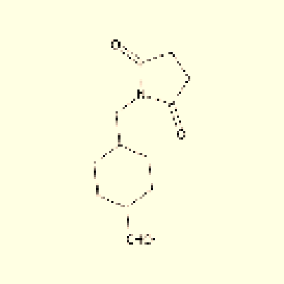 O=[C]C1CCC(CN2C(=O)CCC2=O)CC1